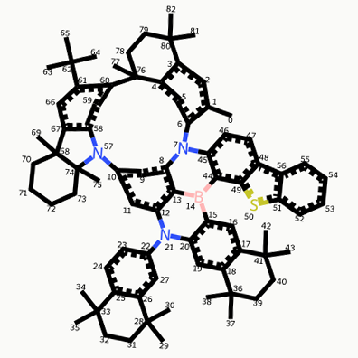 Cc1cc2c3cc1N1c4cc(cc5c4B(c4cc6c(cc4N5c4ccc5c(c4)C(C)(C)CCC5(C)C)C(C)(C)CCC6(C)C)c4c1ccc1c4sc4ccccc41)N1c4cc(c(C(C)(C)C)cc4C4(C)CCCCC14C)C3(C)CCC2(C)C